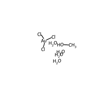 CO.O.O.O.O.[Cl][Au]([Cl])[Cl]